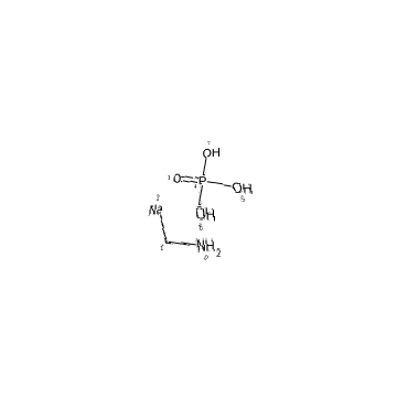 N[CH2][Na].O=P(O)(O)O